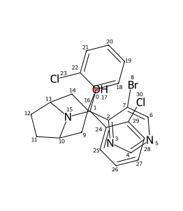 OC1(c2ncncc2Br)CC2CCC(C1)N2C(c1ccccc1Cl)c1ccccc1Cl